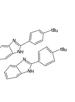 CC(C)(C)c1ccc(-c2nc3ccccc3[nH]2)cc1.CC(C)(C)c1ccc(-c2nc3ccccc3[nH]2)cc1